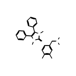 Cc1ccc(CN(I)I)cc1C.Cn1c(-c2ccccc2)c(-c2ccccc2)n(C)[c]1=[Pt]